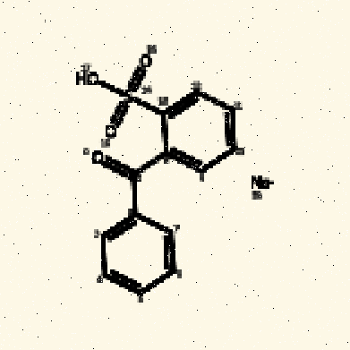 O=C(c1ccccc1)c1ccccc1S(=O)(=O)O.[Na]